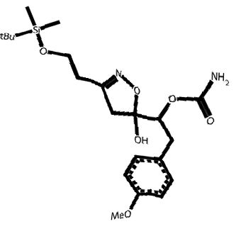 COc1ccc(CC(OC(N)=O)C2(O)CC(CCO[Si](C)(C)C(C)(C)C)=NO2)cc1